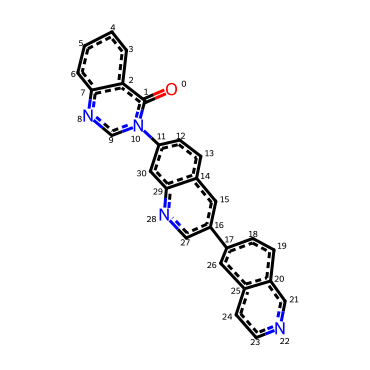 O=c1c2ccccc2ncn1-c1ccc2cc(-c3ccc4cnccc4c3)cnc2c1